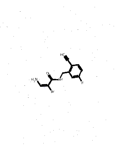 C#Cc1ccc(F)cc1CNC(=O)/C(Br)=C\N